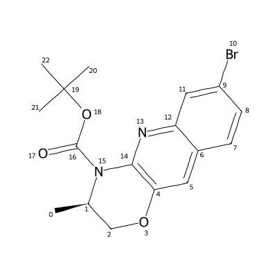 C[C@@H]1COc2cc3ccc(Br)cc3nc2N1C(=O)OC(C)(C)C